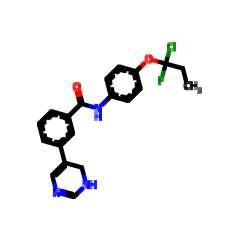 CCC(F)(Cl)Oc1ccc(NC(=O)c2cccc(C3=CN=CNC3)c2)cc1